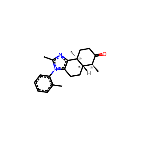 Cc1ccccc1-n1c(C)nc2c1CC[C@H]1[C@H](C)C(=O)CC[C@]21C